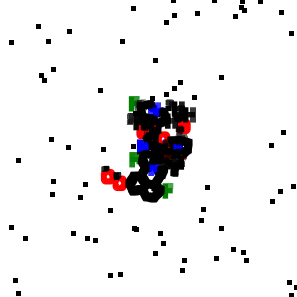 [2H]C([2H])([2H])OC[C@@]12CC[C@@H](CN(c3nc(OC([2H])([2H])[C@@]45CCCN4C[C@H](F)C5)nc4c(F)c(-c5cc(OCOC)cc6ccc(F)c(C#C[Si](C(C)C)(C(C)C)C(C)C)c56)ncc34)C1)N2C(=O)OC(C)(C)C